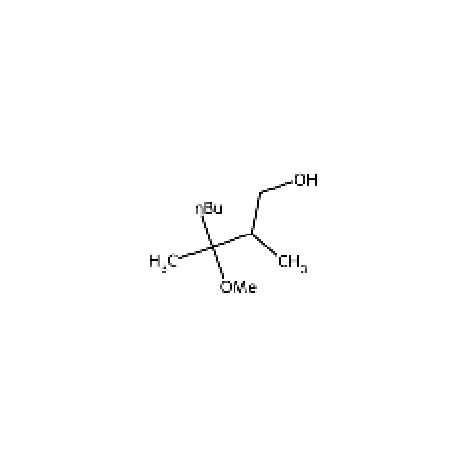 CCCCC(C)(OC)C(C)CO